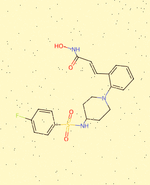 O=C(/C=C/c1ccccc1N1CCC(NS(=O)(=O)c2ccc(F)cc2)CC1)NO